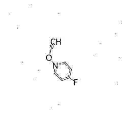 C#CO[n+]1ccc(F)cc1